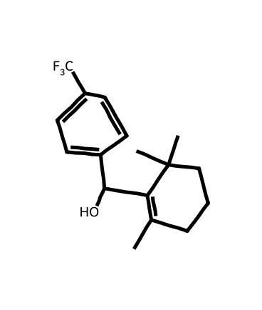 CC1=C(C(O)c2ccc(C(F)(F)F)cc2)C(C)(C)CCC1